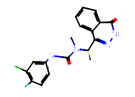 C[C@H](c1n[nH]c(=O)c2ccccc12)N(C)C(=O)Nc1ccc(F)c(Cl)c1